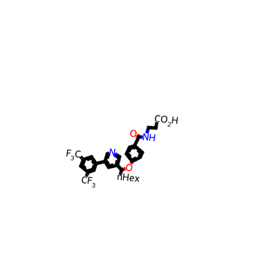 CCCCCCC(Oc1ccc(C(=O)NCCC(=O)O)cc1)c1cncc(-c2cc(C(F)(F)F)cc(C(F)(F)F)c2)c1